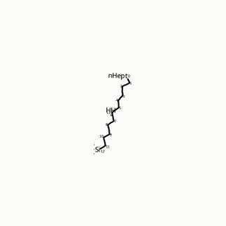 CCCCCCCCCCCCCCCCCC[Si].[HH]